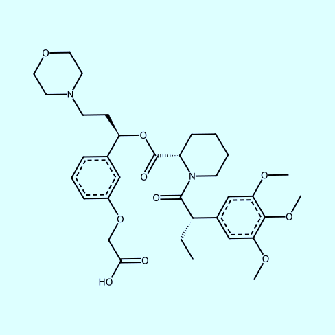 CC[C@H](C(=O)N1CCCC[C@H]1C(=O)O[C@H](CCN1CCOCC1)c1cccc(OCC(=O)O)c1)c1cc(OC)c(OC)c(OC)c1